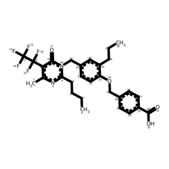 CCCCc1nc(C)c(C(F)(F)C(F)(F)F)c(=O)n1Cc1ccc(OCc2ccc(C(=O)O)cc2)c(CCC)c1